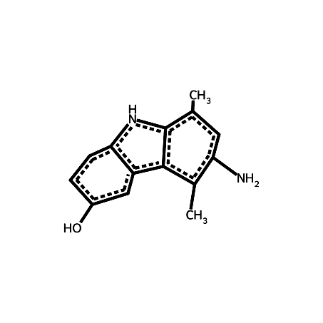 Cc1cc(N)c(C)c2c1[nH]c1ccc(O)cc12